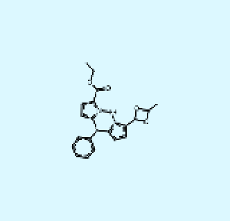 CCOC(=O)c1ccc2n1Pn1c(C3OC(C)O3)ccc1C2c1ccccc1